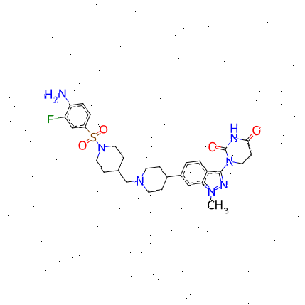 Cn1nc(N2CCC(=O)NC2=O)c2ccc(C3CCN(CC4CCN(S(=O)(=O)c5ccc(N)c(F)c5)CC4)CC3)cc21